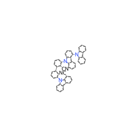 N#Cc1c(-c2cccc(-n3c4ccccc4c4cccc(C#N)c43)c2)cccc1-n1c2ccccc2c2c(-n3c4ccccc4c4ccccc43)cccc21